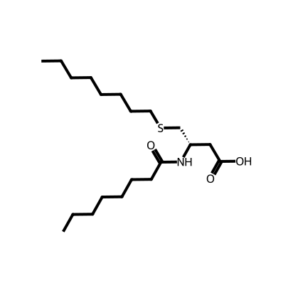 CCCCCCCCSC[C@H](CC(=O)O)NC(=O)CCCCCCC